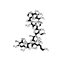 C/C=C\C[C@@H](C)[C@H](O)C(C(=O)N[C@@H](CC)C(=O)N(C)CCN(C)[C@@H](C(N)O)C(C)CC)N(C)C(=O)[C@@H](C(C)C)N(C)C(=O)[C@@H](CC(C)C)N(C)C(=O)[C@@H](CC(C)C)N(C)C(=O)[C@H](C)NC(=O)[C@H](CC(C)C)NC(=O)[C@H](C)N(C)C(=O)[C@H](C)C(C)(C)C